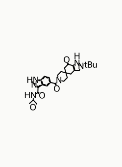 CC(C)(C)N1CC2=C(N1)C(=O)CC1(CCN(C(=O)c3ccc4[nH]nc(C(=O)NC5COC5)c4c3)CC1)C2